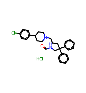 Cl.O=CNCC(CCCN1CCC(c2ccc(Cl)cc2)CC1)(c1ccccc1)c1ccccc1